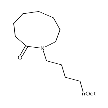 CCCCCCCCCCCCN1CCCCCCCC1=O